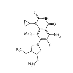 COc1c(N2CC(CN)C(CC(F)(F)F)C2)c(F)c(N)c2c(=O)[nH]c(=O)n(C3CC3)c12